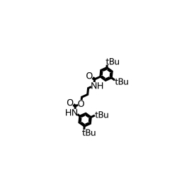 CC(C)(C)c1cc(NC(=O)OCCCNC(=O)c2cc(C(C)(C)C)cc(C(C)(C)C)c2)cc(C(C)(C)C)c1